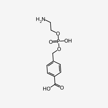 NCCOP(=O)(O)OCc1ccc(C(=O)O)cc1